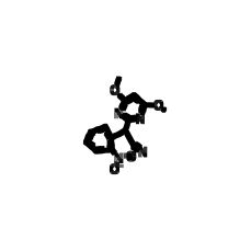 COc1cc(OC)nc(C(C#N)c2ccccc2[N+](=O)[O-])n1